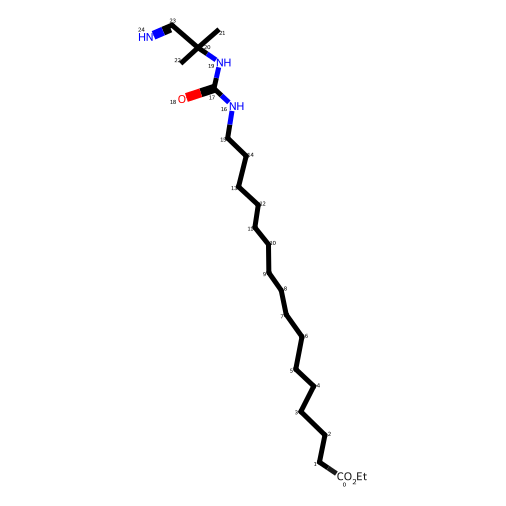 CCOC(=O)CCCCCCCCCCCCCCCNC(=O)NC(C)(C)C=N